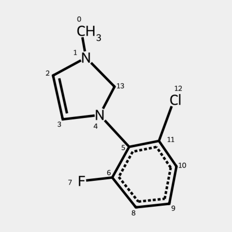 CN1C=CN(c2c(F)cccc2Cl)C1